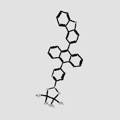 CC1(C)OB(c2ccc(-c3c4ccccc4c(-c4ccc5oc6ccccc6c5c4)c4ccccc34)cn2)OC1(C)C